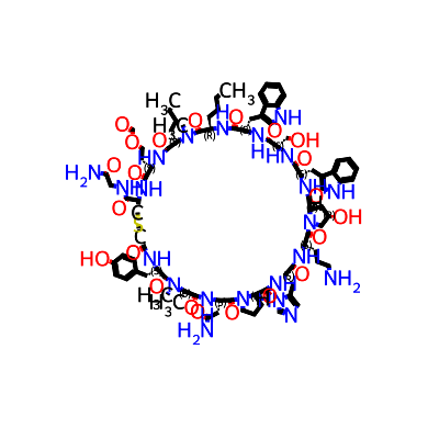 CCCC[C@H]1NC(=O)[C@H](Cc2c[nH]c3ccccc23)NC(=O)[C@H](CO)NC(=O)[C@H](Cc2c[nH]c3ccccc23)NC(=O)[C@@H]2C[C@@H](O)CN2C(=O)[C@H](CCCN)NC(=O)[C@H](Cc2cnc[nH]2)NC(=O)[C@@H]2CCCN2C(=O)[C@H](CC(N)=O)NC(=O)[C@H](C)N(C)C(=O)[C@H](Cc2ccc(O)cc2)NC(=O)CSCC(C(=O)NCC(N)=O)NC(=O)[C@H](CCOC=O)NC(=O)[C@H](CCCC)N(C)C1=O